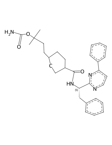 CC(C)(CCC1CCC(C(=O)N[C@@H](Cc2ccccc2)c2nccc(-c3ccccc3)n2)CC1)OC(N)=O